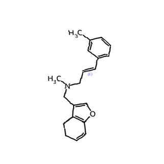 Cc1cccc(/C=C/CN(C)Cc2coc3c2CCC=C3)c1